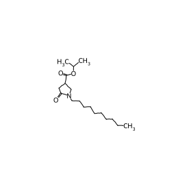 CCCCCCCCCCN1CC(C(=O)OC(C)C)CC1=O